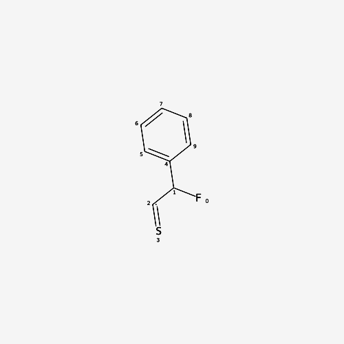 FC([C]=S)c1ccccc1